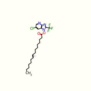 CCCCCC/C=C/CCCCCCCC(=O)On1c(C(F)(F)F)nc2ncc(Cl)cc21